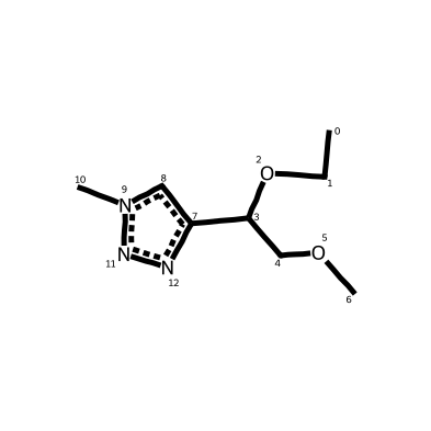 CCOC(COC)c1cn(C)nn1